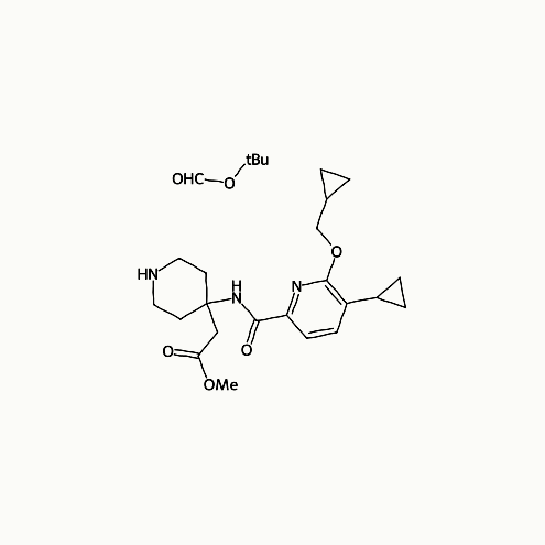 CC(C)(C)OC=O.COC(=O)CC1(NC(=O)c2ccc(C3CC3)c(OCC3CC3)n2)CCNCC1